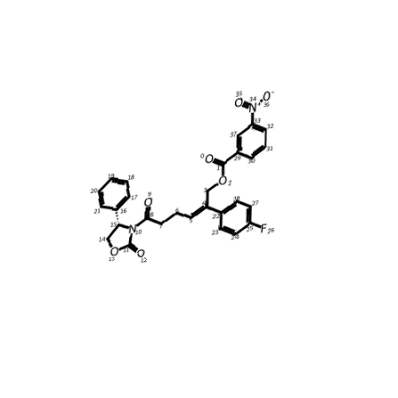 O=C(OC/C(=C\CCC(=O)N1C(=O)OC[C@@H]1c1ccccc1)c1ccc(F)cc1)c1cccc([N+](=O)[O-])c1